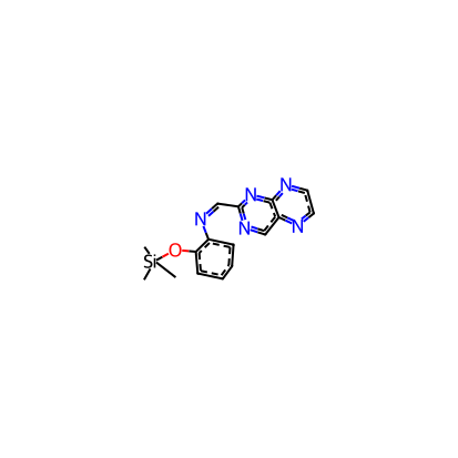 C[Si](C)(C)Oc1ccccc1/N=C\c1ncc2nccnc2n1